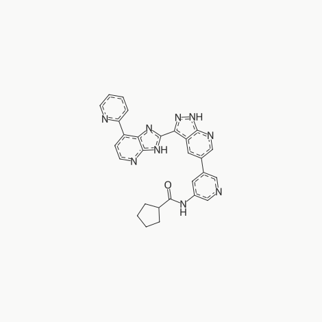 O=C(Nc1cncc(-c2cnc3[nH]nc(-c4nc5c(-c6ccccn6)ccnc5[nH]4)c3c2)c1)C1CCCC1